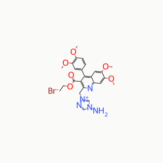 CCOC(=O)c1c(C[n+]2cn(N)cn2)nc2cc(OC)c(OC)cc2c1-c1ccc(OC)c(OC)c1.[Br-]